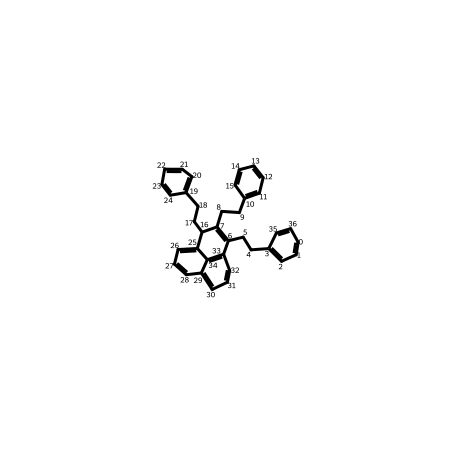 c1ccc(CCC2=C(CCc3ccccc3)C(CCc3ccccc3)c3cccc4cccc2c34)cc1